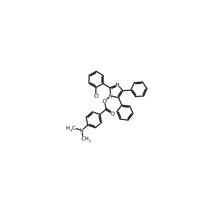 CN(C)c1ccc(C(=O)On2c(-c3ccccc3Cl)nc(-c3ccccc3)c2-c2ccccc2)cc1